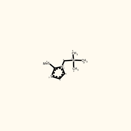 CSc1scc[n+]1C[Si](C)(C)C